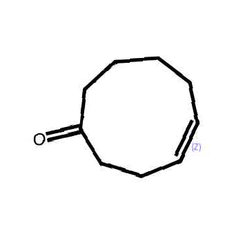 O=C1CC/C=C\CCCC1